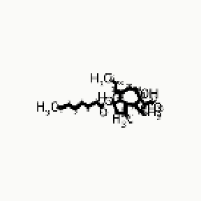 CCCCCCCC(=O)OC1CC(C)=C2C(CC)C(O)(C(C)C=O)CCC(CCC)C21C